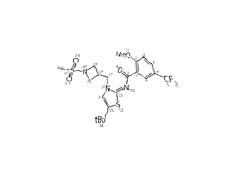 COc1ccc(C(F)(F)F)cc1C(=O)N=c1sc(C(C)(C)C)cn1CC1CN(S(C)(=O)=O)C1